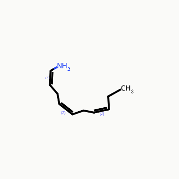 CC/C=C\C/C=C\C/C=C\N